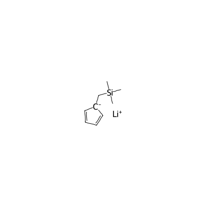 C[Si](C)(C)C[c-]1cccc1.[Li+]